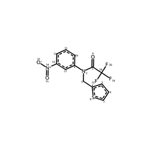 O=C(N(Cc1cccs1)c1cccc([N+](=O)[O-])c1)C(F)(F)F